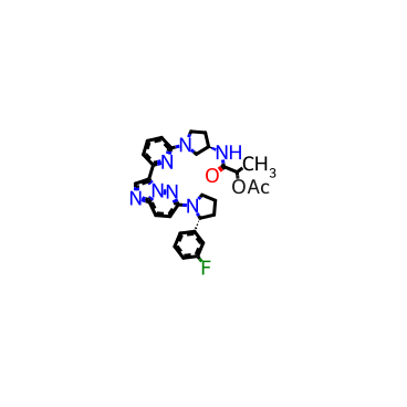 CC(=O)OC(C)C(=O)N[C@@H]1CCN(c2cccc(-c3cnc4ccc(N5CCC[C@@H]5c5cccc(F)c5)nn34)n2)C1